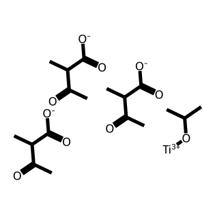 CC(=O)C(C)C(=O)[O-].CC(=O)C(C)C(=O)[O-].CC(=O)C(C)C(=O)[O-].CC(C)[O][Ti+3]